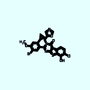 COc1cc(C2CC2)c(-c2nc3sc4c(O)c(Cl)ccc4c3c(=O)n2Cc2cnco2)cc1Br